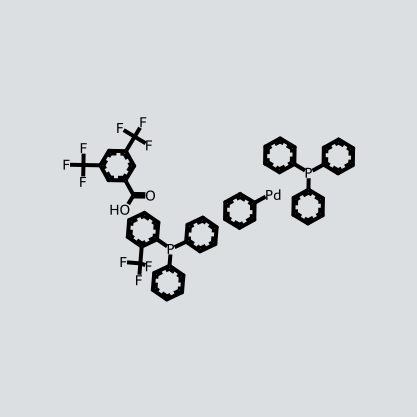 FC(F)(F)c1ccccc1P(c1ccccc1)c1ccccc1.O=C(O)c1cc(C(F)(F)F)cc(C(F)(F)F)c1.[Pd][c]1ccccc1.c1ccc(P(c2ccccc2)c2ccccc2)cc1